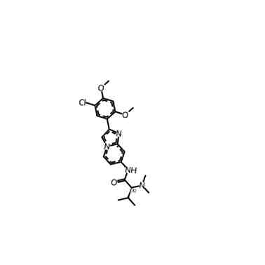 COc1cc(OC)c(-c2cn3ccc(NC(=O)[C@H](C(C)C)N(C)C)cc3n2)cc1Cl